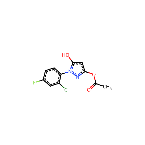 CC(=O)Oc1cc(O)n(-c2ccc(F)cc2Cl)n1